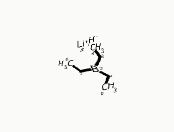 CCB(CC)CC.[H-].[Li+]